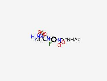 CC(=O)NC[C@H]1CN(c2ccc(N3CCC(C#N)(N(N)S(C)(=O)=O)CC3)c(F)c2)C(=O)O1